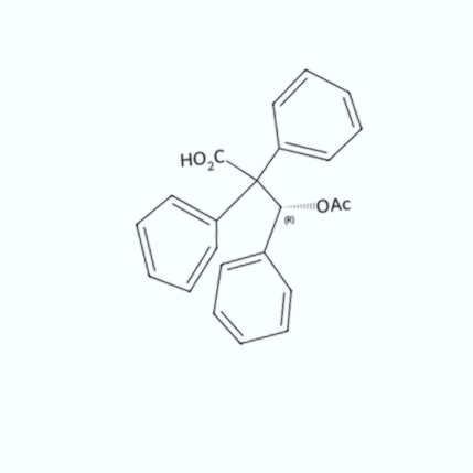 CC(=O)O[C@H](c1ccccc1)C(C(=O)O)(c1ccccc1)c1ccccc1